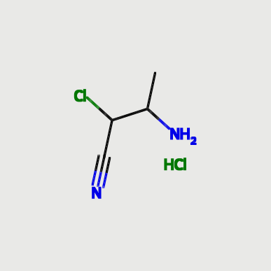 CC(N)C(Cl)C#N.Cl